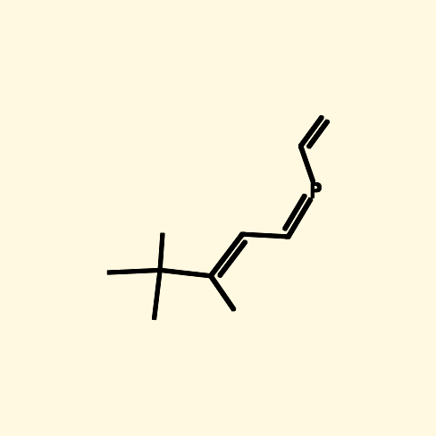 C=C/P=C\C=C(/C)C(C)(C)C